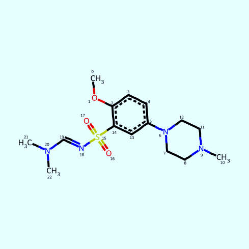 COc1ccc(N2CCN(C)CC2)cc1S(=O)(=O)/N=C/N(C)C